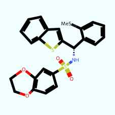 CSc1ccccc1[C@H](NS(=O)(=O)c1ccc2c(c1)OCCO2)c1cc2ccccc2s1